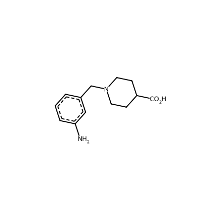 Nc1cccc(CN2CCC(C(=O)O)CC2)c1